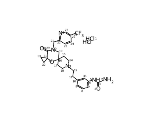 Cl.Cl.NC(=O)Nc1cccc(CCN2CCC3(CC2)CN(Cc2ccc(C(F)(F)F)cn2)C(=O)C2(CC2)O3)c1